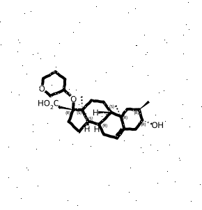 C[C@@H]1C[C@@]2(C)C(=CC[C@@H]3[C@@H]2CC[C@@]2(C)[C@H]3CC[C@]2(CC(=O)O)OC2CCCOC2)C[C@H]1O